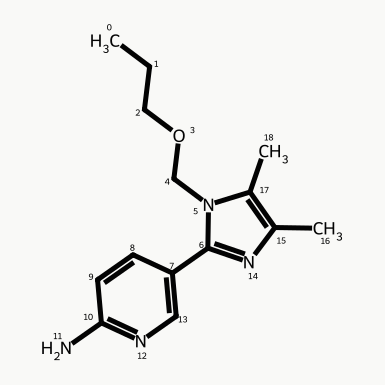 CCCOCn1c(-c2ccc(N)nc2)nc(C)c1C